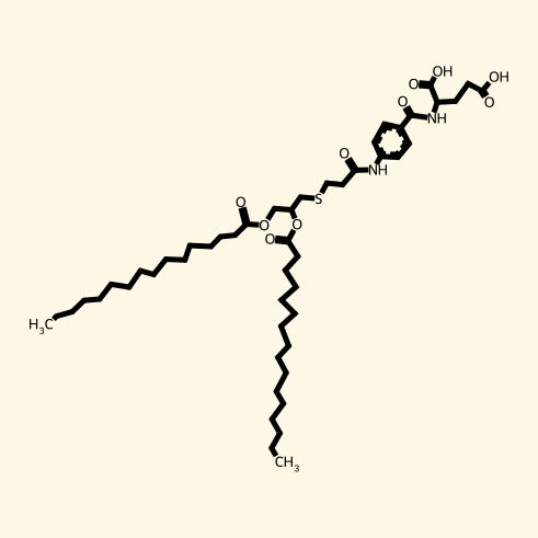 CCCCCCCCCCCCCCCC(=O)OCC(CSCCC(=O)Nc1ccc(C(=O)NC(CCC(=O)O)C(=O)O)cc1)OC(=O)CCCCCCCCCCCCCCC